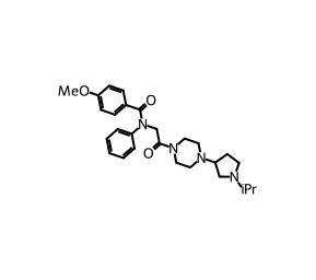 COc1ccc(C(=O)N(CC(=O)N2CCN(C3CCN(C(C)C)C3)CC2)c2ccccc2)cc1